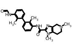 Cc1c(NC=O)cccc1-c1cccc(NC(=O)c2nc3c(n2C)CCN(C)C3)c1C